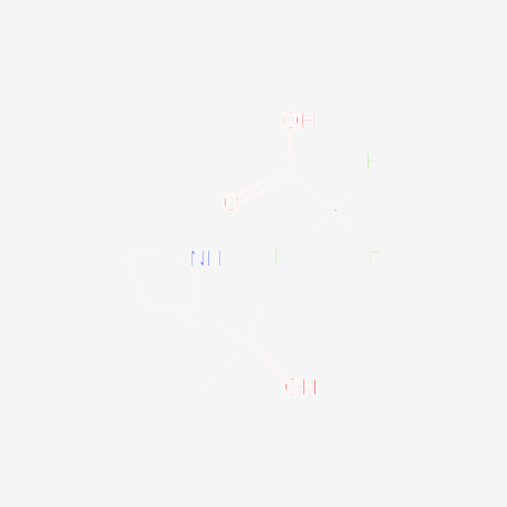 CC(C)(O)[C@@H]1CCN1.O=C(O)C(F)(F)F